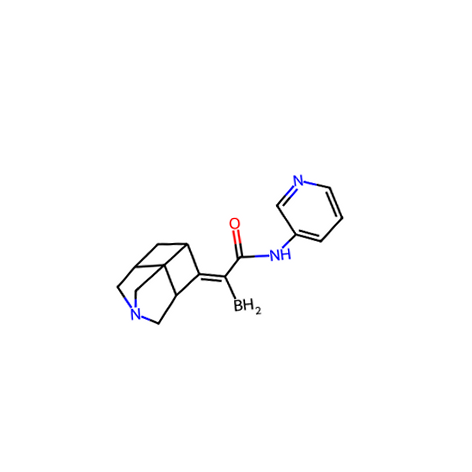 BC(C(=O)Nc1cccnc1)=C1C2CC3CC1CN(C3)C2